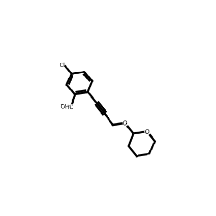 O=Cc1cc(Cl)ccc1C#CCOC1CCCCO1